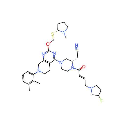 Cc1cccc(N2CCc3c(nc(OCS[C@@H]4CCCN4C)nc3N3CCN(C(=O)/C=C/CN4CCC(F)C4)[C@@H](CC#N)C3)C2)c1C